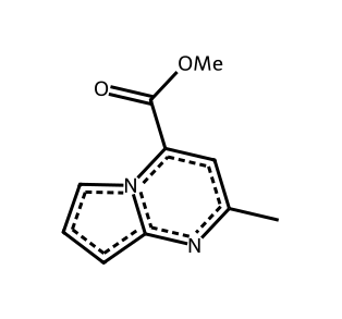 COC(=O)c1cc(C)nc2cccn12